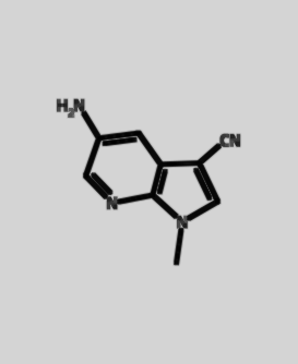 Cn1cc(C#N)c2cc(N)cnc21